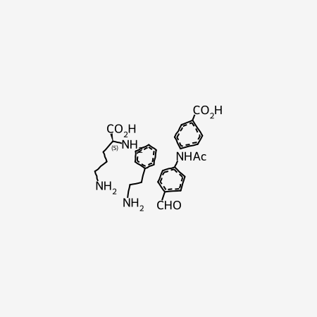 CC(=O)Nc1ccc(C=O)cc1.NCCC[C@H](N)C(=O)O.NCCc1ccccc1.O=C(O)c1ccccc1